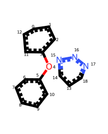 c1ccc(Oc2ccccc2)cc1.c1cnnnc1